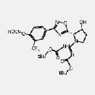 CCCCCCCCOc1ccc(-c2noc([C@@H]3[C@@H](O)CCN3/C(=N/C(=O)OC(C)(C)C)NC(=O)OC(C)(C)C)n2)cc1C(F)(F)F